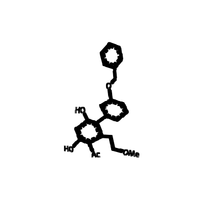 COCCc1c(C(C)=O)c(O)cc(O)c1-c1cccc(OCc2ccccc2)c1